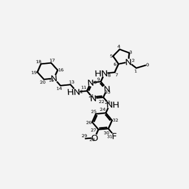 CCN1CCCC1CNc1nc(NCCN2CCCCC2)nc(Nc2ccc(OC)c(F)c2)n1